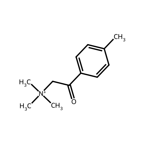 Cc1ccc(C(=O)C[N+](C)(C)C)cc1